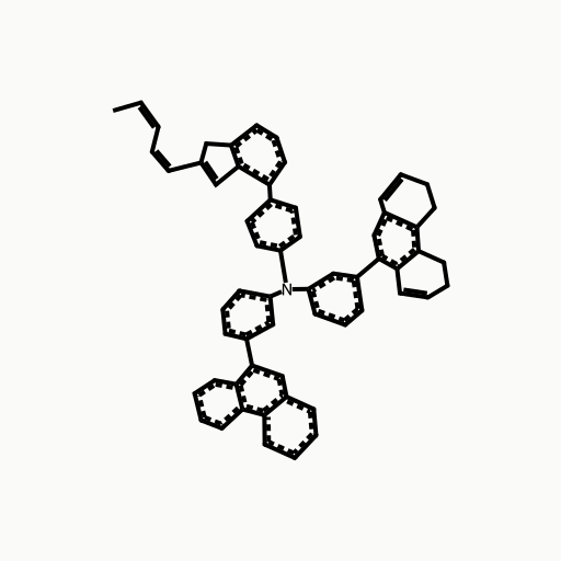 C/C=C\C=C/C1=Cc2c(cccc2-c2ccc(N(c3cccc(-c4cc5c(c6c4C=CCC6)CCC=C5)c3)c3cccc(-c4cc5ccccc5c5ccccc45)c3)cc2)C1